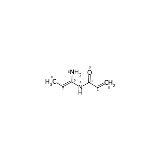 C=CC(=O)NC(N)=CC